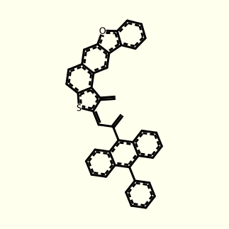 C=C(/C=c1/sc2ccc3cc4oc5ccccc5c4cc3c2c1=C)c1c2ccccc2c(-c2ccccc2)c2ccccc12